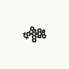 Cc1cc2c(cc1N1c3cc4ccccc4c4c3B(c3sc5ccccc5c31)N1c3ccccc3C3(c5ccccc5-c5ccccc53)c3cccc-4c31)C(C)(C)CCC2(C)C